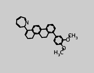 COc1ccc(-c2cccc3c2CCc2c-3ccc3c2CCC=C3C2C=CC=CC=N2)cc1OC